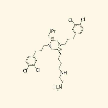 CC(C)C[C@@H]1CN(CCCc2ccc(Cl)c(Cl)c2)[C@@H](CCCCNCCN)CN1CCCc1ccc(Cl)c(Cl)c1